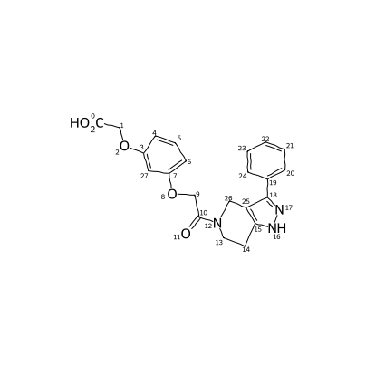 O=C(O)COc1cccc(OCC(=O)N2CCc3[nH]nc(-c4ccccc4)c3C2)c1